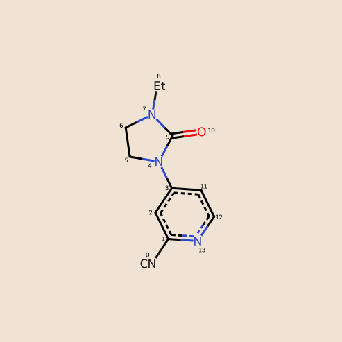 [C-]#[N+]c1cc(N2CCN(CC)C2=O)ccn1